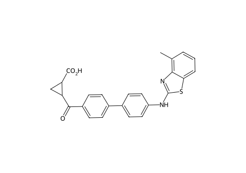 Cc1cccc2sc(Nc3ccc(-c4ccc(C(=O)C5CC5C(=O)O)cc4)cc3)nc12